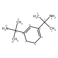 CC(C)(N)C1=CCCC(C(C)(C)N)=C1